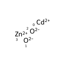 [Cd+2].[O-2].[O-2].[Zn+2]